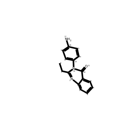 CCc1nc2ccccc2c(=O)n1-c1ccc(N)cc1